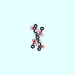 O=C1C(=Cc2cc3c(s2)c2cc4c(cc2n3C(=O)OCc2ccccc2)c2sc(C=C3C(=O)c5ccccc5C3=O)cc2n4C(=O)OCc2ccccc2)C(=O)c2ccccc21